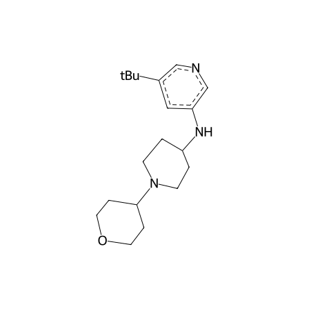 CC(C)(C)c1cncc(NC2CCN(C3CCOCC3)CC2)c1